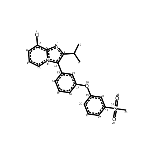 CC(C)c1nc2c(Cl)cccn2c1-c1cccc(Oc2cccc(S(C)(=O)=O)c2)c1